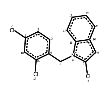 Clc1ccc(Cn2c(Cl)[c]c3ccccc32)c(Cl)c1